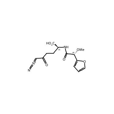 CO[C@@H](C(=O)N[C@@H](CCC(=O)C=[N+]=[N-])C(=O)O)c1ccco1